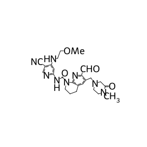 COCCNc1cc(NC(=O)N2CCCc3cc(CN4CCN(C)C(=O)C4)c(C=O)nc32)ncc1C#N